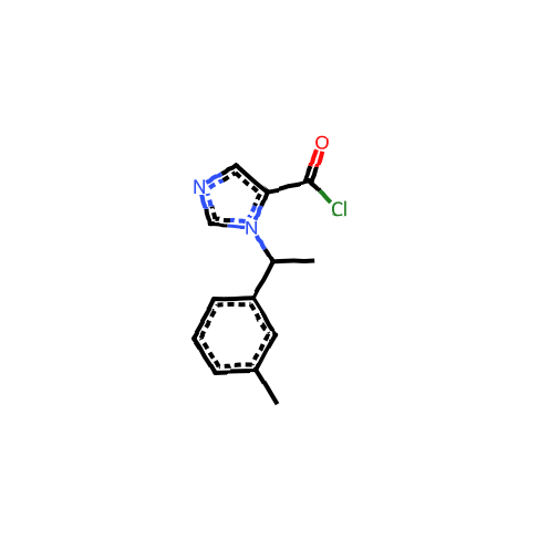 Cc1cccc(C(C)n2cncc2C(=O)Cl)c1